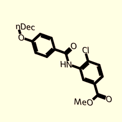 CCCCCCCCCCOc1ccc(C(=O)Nc2cc(C(=O)OC)ccc2Cl)cc1